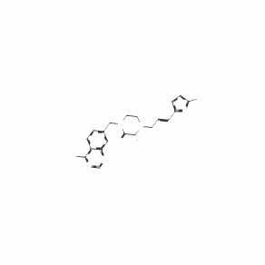 CC[C@H]1C(=O)N(Cc2ccc3c(N)ncnc3c2)CCN1CC=Cc1ccc(Cl)s1